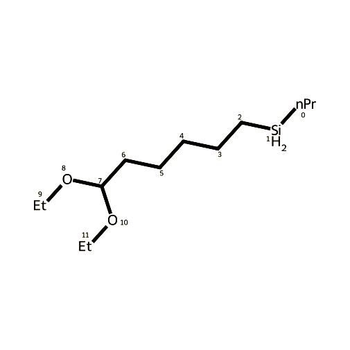 CCC[SiH2]CCCCCC(OCC)OCC